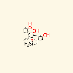 C1CC[SiH2]OC1.C=CCc1ccc(O)c(C)c1.Oc1ccccc1.Oc1ccccc1